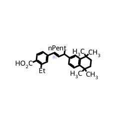 CCCCCC(/C=C/c1ccc(C(=O)O)c(CC)c1)c1ccc2c(c1)C(C)(C)CCC2(C)C